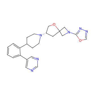 c1ccc(C2CCN([C@@H]3COC4(C3)CN(c3nnco3)C4)CC2)c(-c2cncnc2)c1